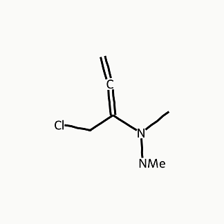 C=C=C(CCl)N(C)NC